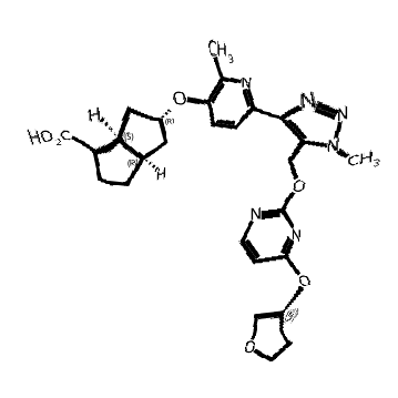 Cc1nc(-c2nnn(C)c2COc2nccc(O[C@H]3CCOC3)n2)ccc1O[C@@H]1C[C@H]2CCC(C(=O)O)[C@H]2C1